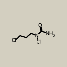 NC(=O)N(Cl)CCCCl